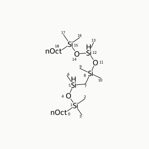 CCCCCCCC[Si](C)(C)O[SiH](C)C[Si](C)(C)O[SiH](C)O[Si](C)(C)CCCCCCCC